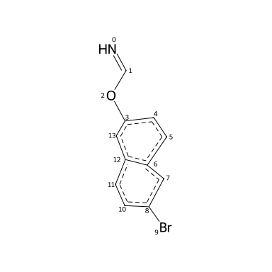 N=COc1ccc2cc(Br)ccc2c1